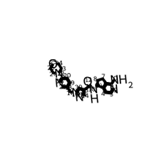 Nc1nccc2c1CC[C@H]2NC(=O)c1cnn(Cc2ccc(N3CCOCC3)nc2)c1